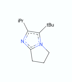 CC(C)c1nc2n(c1C(C)(C)C)CCC2